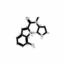 CN(C(=O)c1cc2cccc(Cl)c2[nH]1)C1CCOC1